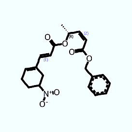 C[C@H](/C=C\C(=O)OCc1ccccc1)OC(=O)/C=C/C1=CCCC([N+](=O)[O-])C1